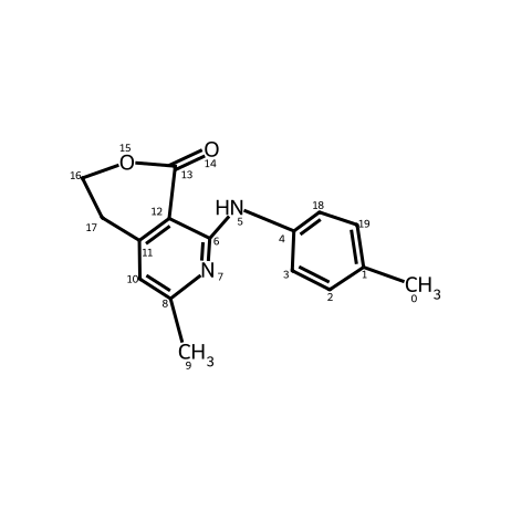 Cc1ccc(Nc2nc(C)cc3c2C(=O)OCC3)cc1